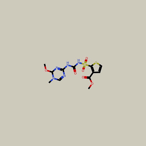 COC(=O)c1ccsc1S(=O)(=O)NC(=O)NC1=NC(OC)N(C)C=N1